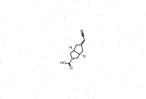 N#C/C=C1\C[C@@H]2CN(C(=O)O)C[C@@H]2C1